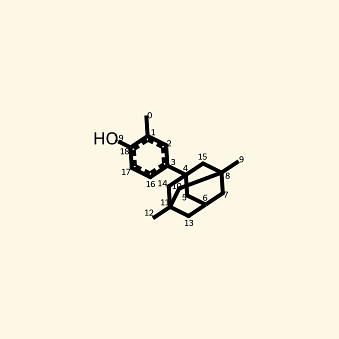 Cc1cc(C23CC4CC(C)(CC(C)(C4)C2)C3)ccc1O